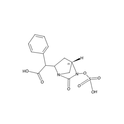 O=C(O)C(c1ccccc1)C1C[C@H]2CN1C(=O)N2OS(=O)(=O)O